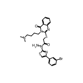 CN(C)CCCCn1c(SCC(=O)N(N)c2nc(-c3cccc(Br)c3)cs2)nc2ccccc2c1=O